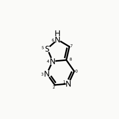 C1=NC=NN2SNC=C12